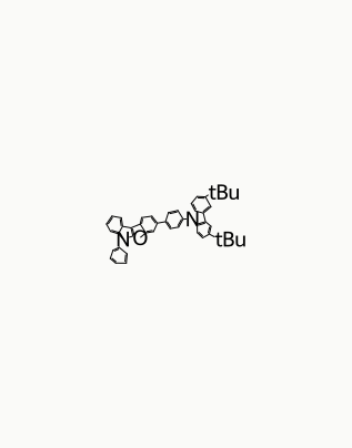 CC(C)(C)c1ccc2c(c1)c1cc(C(C)(C)C)ccc1n2-c1ccc(-c2ccc3c(c2)oc2c3c3ccccc3n2-c2ccccc2)cc1